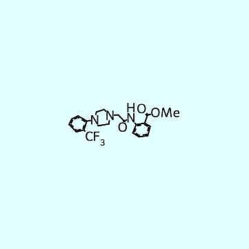 COC(=O)c1ccccc1NC(=O)CN1CCN(c2ccccc2C(F)(F)F)CC1